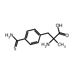 CC(N)(Cc1ccc(C(N)=S)cc1)C(=O)O